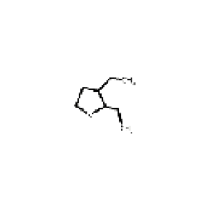 CCC1CCSC1CC